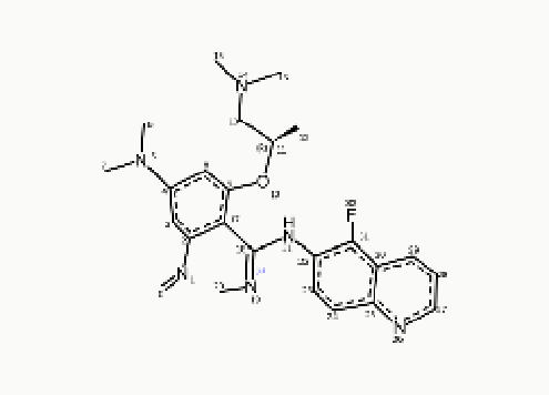 C=Nc1cc(N(C)C)cc(O[C@H](C)CN(C)C)c1/C(=N\C)Nc1ccc2ncccc2c1F